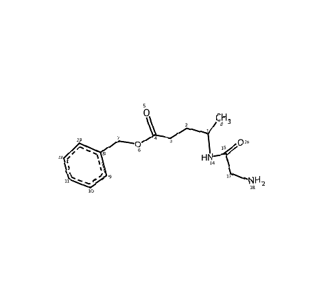 CC(CCC(=O)OCc1ccccc1)NC(=O)CN